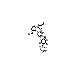 CCc1nc(-c2cccc(CO)c2)c(-c2ccnc(Nc3ccc(N4CCOCC4)c(F)c3)n2)s1